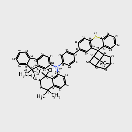 CC1(C)CCC(C)(C)c2c(N(c3ccc(-c4ccc5c(c4)C4(c6ccccc6S5)C5CC6CC7CC4C75C6)cc3)c3ccc4c(c3)C(C)(C)c3ccccc3-4)cccc21